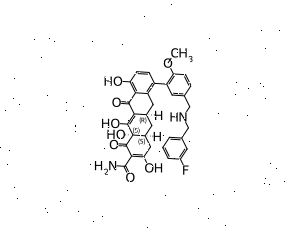 COc1ccc(CNCc2cccc(F)c2)cc1-c1ccc(O)c2c1C[C@H]1C[C@H]3CC(O)=C(C(N)=O)C(=O)[C@@]3(O)C(O)=C1C2=O